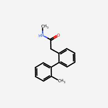 CNC(=O)Cc1ccccc1-c1ccccc1C